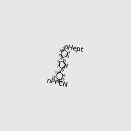 CCCCCCCc1ccc(-c2ccc(C3CCC(C#N)(CCC)CC3)cc2)cc1